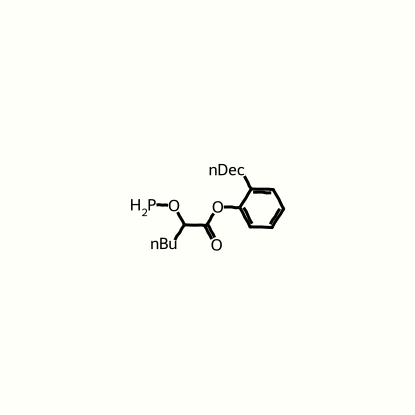 CCCCCCCCCCc1ccccc1OC(=O)C(CCCC)OP